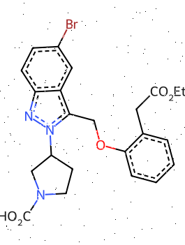 CCOC(=O)Cc1ccccc1OCc1c2cc(Br)ccc2nn1C1CCN(C(=O)O)C1